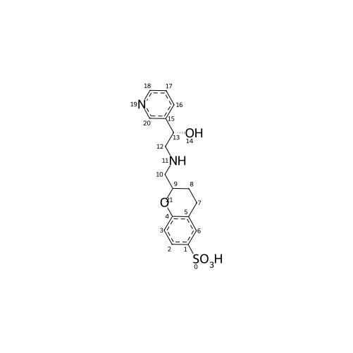 O=S(=O)(O)c1ccc2c(c1)CCC(CNC[C@@H](O)c1cccnc1)O2